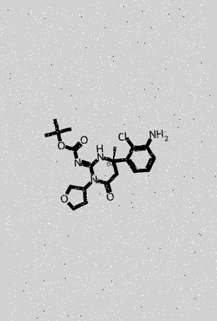 CC(C)(C)OC(=O)N=C1N[C@](C)(c2cccc(N)c2Cl)CC(=O)N1C1CCOC1